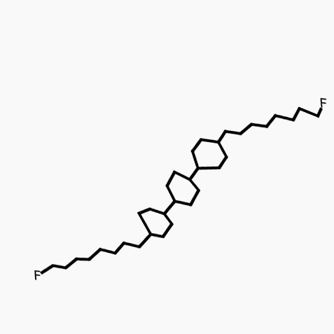 FCCCCCCCCC1CCC(C2CCC(C3CCC(CCCCCCCCF)CC3)CC2)CC1